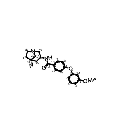 COc1cccc(Oc2ccc(C(=O)N[C@@H]3C[C@@H]4CCN(C4)C3)cc2)c1